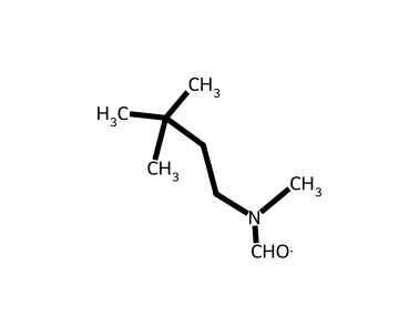 CN([C]=O)CCC(C)(C)C